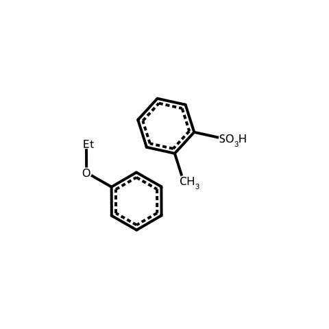 CCOc1ccccc1.Cc1ccccc1S(=O)(=O)O